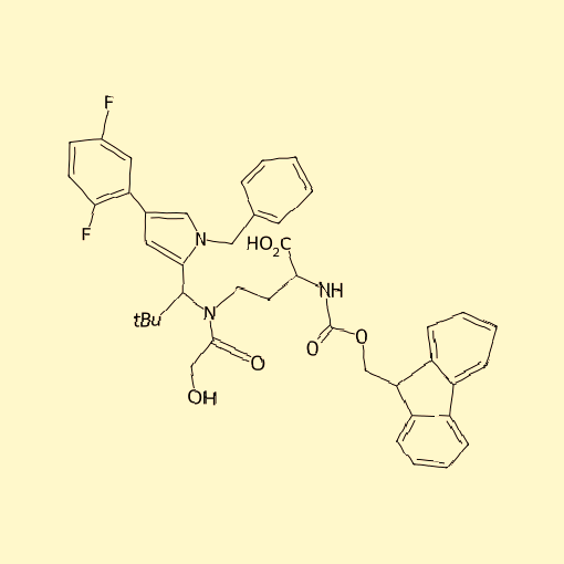 CC(C)(C)C(c1cc(-c2cc(F)ccc2F)cn1Cc1ccccc1)N(CCC(NC(=O)OCC1c2ccccc2-c2ccccc21)C(=O)O)C(=O)CO